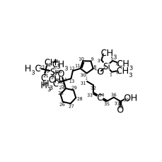 CC[Si](CC)(CC)O[C@H]1CC=C(CCC(C)(O[Si](C)(C)C(C)(C)C)C2CCCCC2)[C@H]1CCC=C=CCC(=O)O